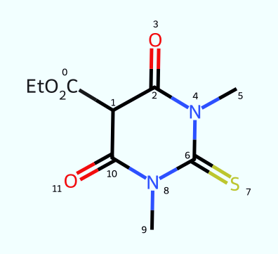 CCOC(=O)C1C(=O)N(C)C(=S)N(C)C1=O